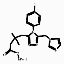 CCCCCOC(=O)CC(C)(C)Cc1nnc(Cn2ccnc2)n1-c1ccc(Cl)cc1